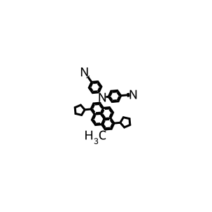 Cc1cc(C2CCCC2)c2ccc3c(N(c4ccc(C#N)cc4)c4ccc(C#N)cc4)cc(C4CCCC4)c4ccc1c2c43